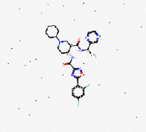 C[C@@H](NC(=O)[C@@H]1CN(C2CCCCC2)CC[C@H]1NC(=O)c1noc(-c2ccc(F)cc2F)n1)c1cnccn1